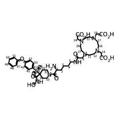 N[C@@H](CCCCNC(=O)CN1CCN(CC(=O)O)CCN(CC(=O)O)CCN(CC(=O)O)CC1)C(=O)N1CCC(C(=O)NO)(S(=O)(=O)c2ccc(Oc3ccccc3)cc2)CC1